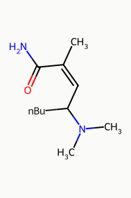 CCCCC(C=C(C)C(N)=O)N(C)C